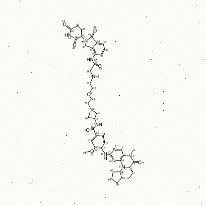 CC[C@@H]1C(=O)N(C)c2cnc(Nc3ccc(C(=O)NC4CN(CCOCCNCC(=O)Nc5cccc6c5CN(C5CCC(=O)NC5=O)C6=O)C4)cc3OC)nc2N1C1CCCC1